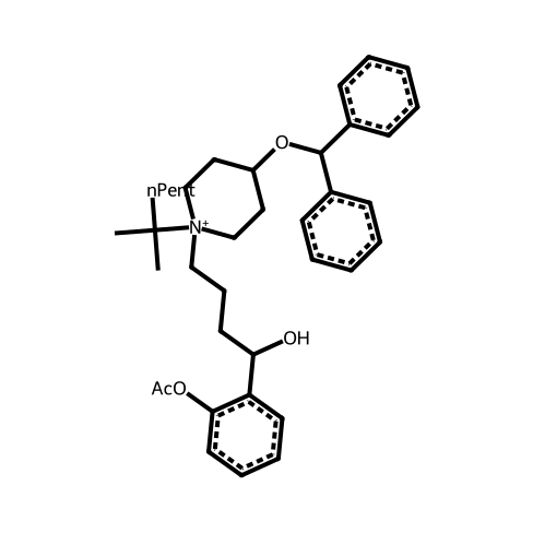 CCCCCC(C)(C)[N+]1(CCCC(O)c2ccccc2OC(C)=O)CCC(OC(c2ccccc2)c2ccccc2)CC1